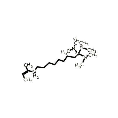 CC=C(C)[SiH2]CCCCCCCC[Si](N(C)C)(N(C)C)N(C)C